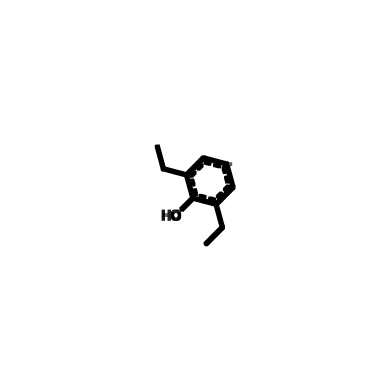 CCc1c[c]cc(CC)c1O